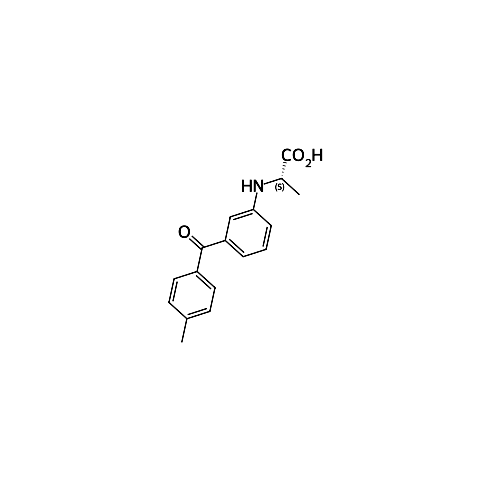 Cc1ccc(C(=O)c2cccc(N[C@@H](C)C(=O)O)c2)cc1